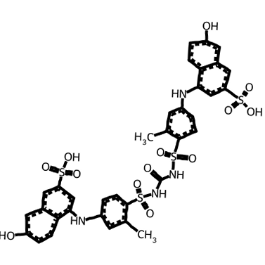 Cc1cc(Nc2cc(S(=O)(=O)O)cc3cc(O)ccc23)ccc1S(=O)(=O)NC(=O)NS(=O)(=O)c1ccc(Nc2cc(S(=O)(=O)O)cc3cc(O)ccc23)cc1C